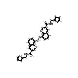 O=C(NCc1ccco1)c1cnc2c(SSc3cccc4cc(C(=O)NCc5ccco5)cnc34)cccc2c1